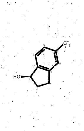 O[C@@H]1CCc2cc(C(F)(F)F)ccc21